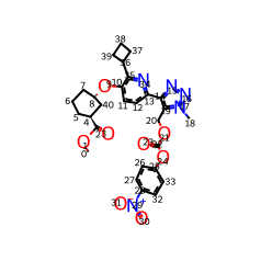 COC(=O)[C@H]1CCC[C@H](Oc2ccc(-c3nnn(C)c3COC(=O)Oc3ccc([N+](=O)[O-])cc3)nc2C2CCC2)C1